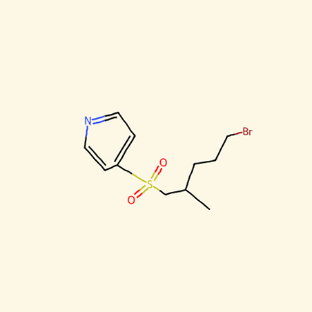 CC(CCCBr)CS(=O)(=O)c1ccncc1